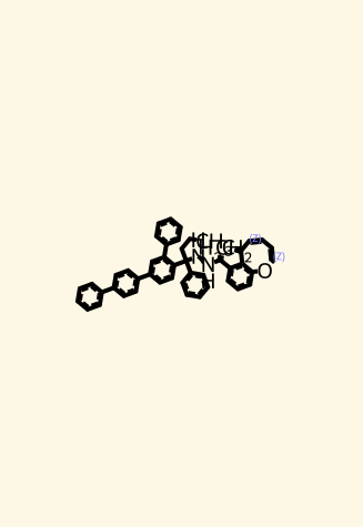 C=C(NNC(CCC)(c1ccccc1)c1ccc(-c2ccc(-c3ccccc3)cc2)cc1-c1ccccc1)c1cccc2c1C(=C)/C=C\C=C/O2